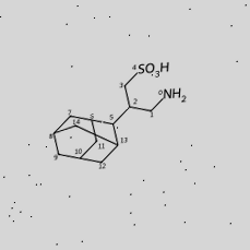 NCC(CS(=O)(=O)O)C1C2CC3CC(C2)CC1C3